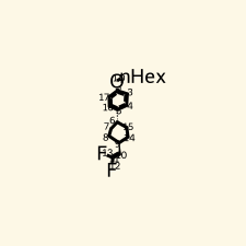 CCCCCCOc1ccc([C@H]2CC[C@H](C=C(F)F)CC2)cc1